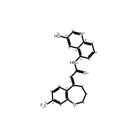 O=C(/C=C1\CCCOc2cc(C(F)(F)F)ccc21)Nc1cccc2ncc(O)cc12